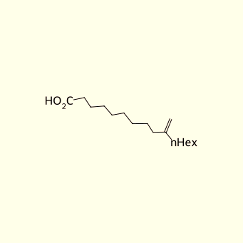 C=C(CCCCCC)CCCCCCCCC(=O)O